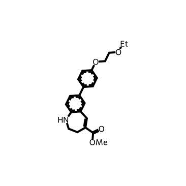 CCOCCOc1ccc(-c2ccc3c(c2)C=C(C(=O)OC)CCN3)cc1